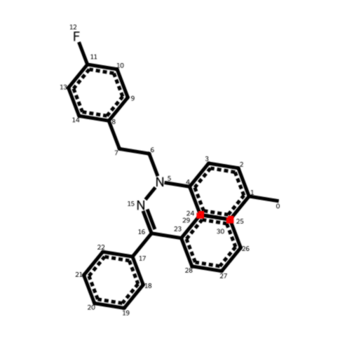 Cc1ccc(N(CCc2ccc(F)cc2)N=C(c2ccccc2)c2ccccc2)cc1